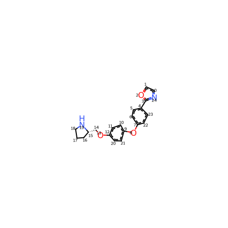 c1coc(-c2ccc(Oc3ccc(OC[C@@H]4CCCN4)cc3)cc2)n1